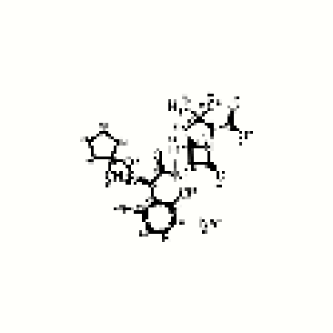 CC1(O/N=C(\C(=O)N[C@H]2C(=O)N3[C@@H]2SC(C)(C)[C@@H]3C(=O)[O-])c2c(F)cccc2Cl)CCCC1.[Na+]